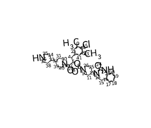 Cc1cc(C[C@@H](OC(=O)N2CCC(N3CCc4ccccc4NC3=O)CC2)C(=O)N2CCC(C3CCNCC3)CC2)cc(C)c1Cl